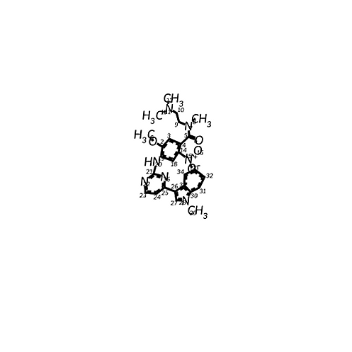 COc1cc(C(=O)N(C)CCN(C)C)c([N+](=O)[O-])cc1Nc1nccc(-c2cn(C)c3ccccc23)n1